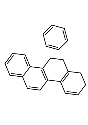 C1=CC2=C(CC1)CCc1c2ccc2ccccc12.c1ccccc1